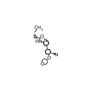 CCC[C@H]1C[C@@H]1C(=O)Nc1cc(-c2ccc(OC3CCOCC3)c(C#N)c2)ccn1